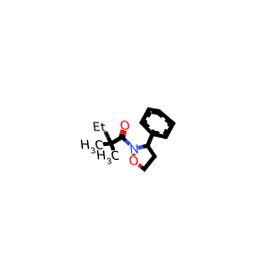 CCC(C)(C)C(=O)N1OCCC1c1ccccc1